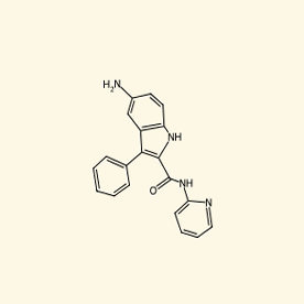 Nc1ccc2[nH]c(C(=O)Nc3ccccn3)c(-c3ccccc3)c2c1